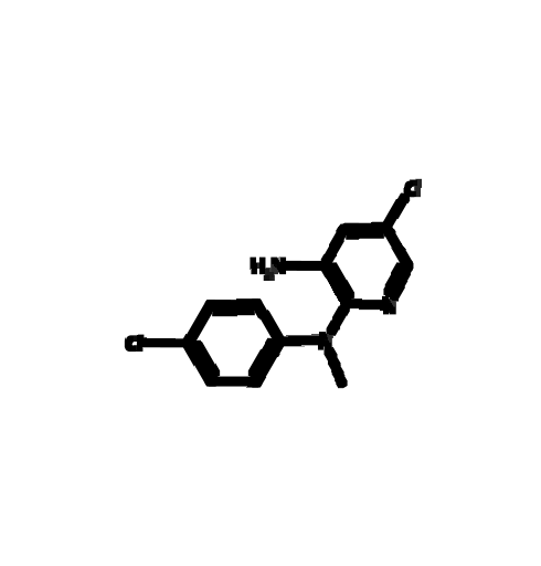 CN(c1ccc(Cl)cc1)c1ncc(Cl)cc1N